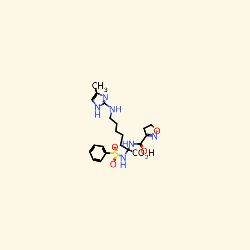 Cc1c[nH]c(NCCCCCC(NC(=O)C2=NOCC2)(NS(=O)(=O)c2ccccc2)C(=O)O)n1